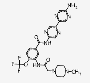 CN1CCN(CC(=O)Nc2cc(C(=O)Nc3cnc(-c4cnc(N)cn4)cn3)ccc2OC(F)(F)F)CC1